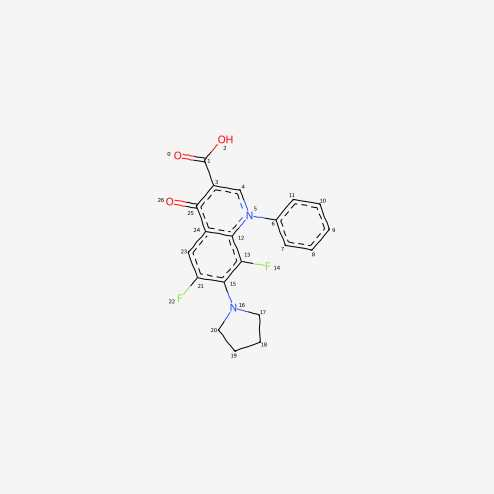 O=C(O)c1cn(-c2ccccc2)c2c(F)c(N3CCCC3)c(F)cc2c1=O